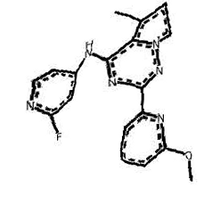 COc1cccc(-c2nc(Nc3ccnc(F)c3)c3c(C)ccn3n2)n1